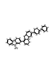 CC(C)N1C2=CC(C3=C4CC5C=CC(C6=CC=C(c7ccccc7)CC6)=CC5C4CC=C3)=CCC2c2ccccc21